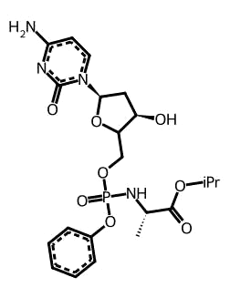 CC(C)OC(=O)[C@H](C)NP(=O)(OCC1O[C@@H](n2ccc(N)nc2=O)C[C@H]1O)Oc1ccccc1